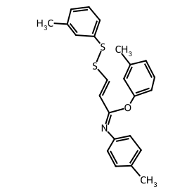 Cc1ccc(/N=C(/C=C/SSc2cccc(C)c2)Oc2cccc(C)c2)cc1